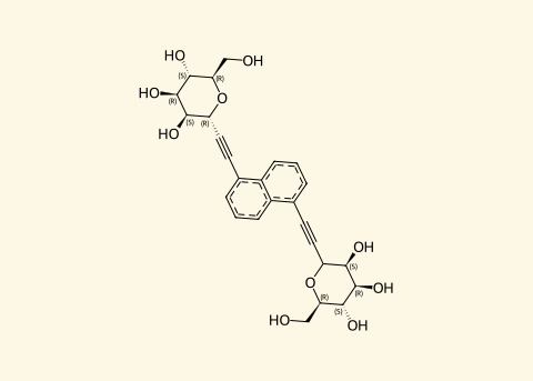 OC[C@H]1O[C@H](C#Cc2cccc3c(C#CC4O[C@H](CO)[C@@H](O)[C@H](O)[C@@H]4O)cccc23)[C@@H](O)[C@@H](O)[C@@H]1O